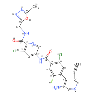 C#Cc1cncc(N)c1-c1cc(Cl)c(C(=O)Nc2cnc(C(=O)NCc3nnc(C)o3)c(Cl)c2)cc1F